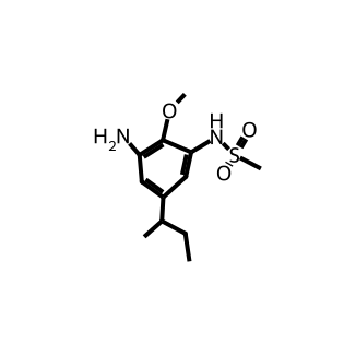 CCC(C)c1cc(N)c(OC)c(NS(C)(=O)=O)c1